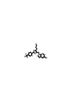 CCCCc1nc(-c2ccc(C(F)(F)F)cc2)sc1Cn1ccc2cc(Br)cnc21